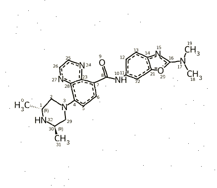 C[C@@H]1CN(c2ccc(C(=O)Nc3ccc4nc(N(C)C)oc4c3)c3nccnc23)C[C@@H](C)N1